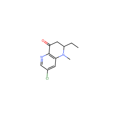 CCC1CC(=O)c2ncc(Cl)cc2N1C